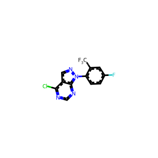 Fc1ccc(-n2ncc3c(Cl)ncnc32)c(C(F)(F)F)c1